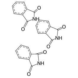 O=C1NC(=O)c2ccccc21.O=C1NC(=O)c2ccccc21.O=C1NC(=O)c2ccccc21